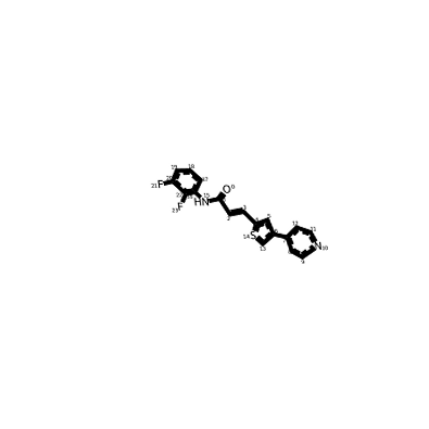 O=C(/C=C/c1cc(-c2ccncc2)cs1)Nc1cccc(F)c1F